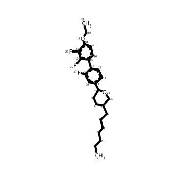 CCCCCCCC1CCC(c2ccc(-c3ccc(OCC)c(F)c3F)c(F)c2)OC1